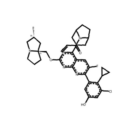 C=CC(=O)N1C2CCC1CN(c1nc(OC[C@@]34CCCN3C[C@H](F)C4)nc3nc(-c4cc(O)cc(Cl)c4C4CC4)c(F)cc13)C2